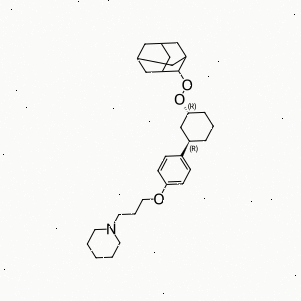 c1cc([C@@H]2CCC[C@@H](OOC3C4CC5CC(C4)CC3C5)C2)ccc1OCCCN1CCCCC1